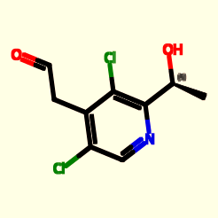 C[C@H](O)c1ncc(Cl)c(CC=O)c1Cl